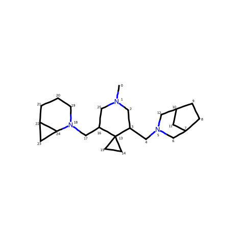 CN1CC(CN2CC3CCC(C3)C2)C2(CC2)C(CN2CCCC3CC32)C1